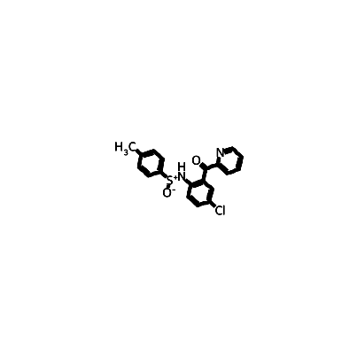 Cc1ccc([S+]([O-])Nc2ccc(Cl)cc2C(=O)c2ccccn2)cc1